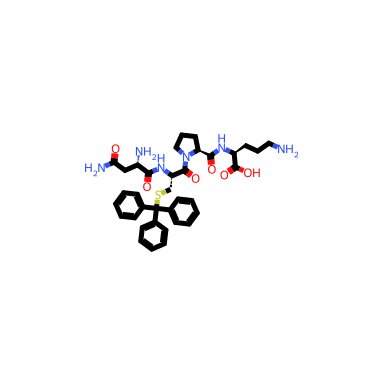 NCCC[C@H](NC(=O)[C@@H]1CCCN1C(=O)[C@H](CSC(c1ccccc1)(c1ccccc1)c1ccccc1)NC(=O)[C@@H](N)CC(N)=O)C(=O)O